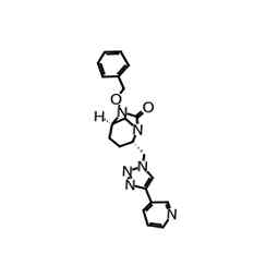 O=C1N2C[C@@H](CC[C@H]2Cn2cc(-c3cccnc3)nn2)N1OCc1ccccc1